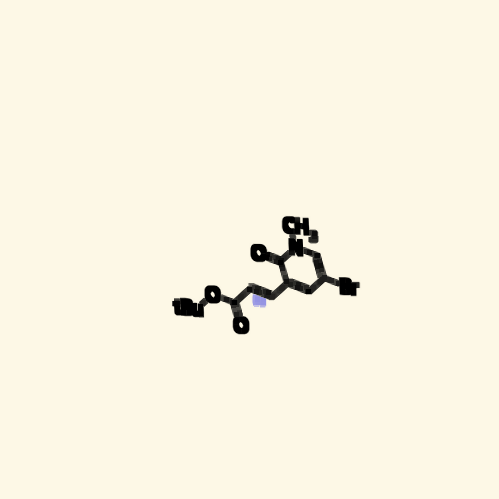 Cn1cc(Br)cc(/C=C/C(=O)OC(C)(C)C)c1=O